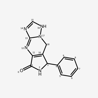 O=C1NC(c2ccccc2)C2=C1N=C1N=CNN1C2